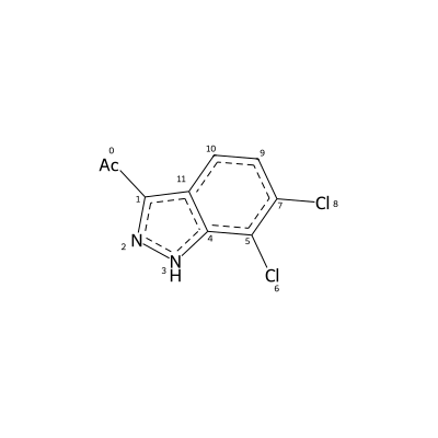 CC(=O)c1n[nH]c2c(Cl)c(Cl)ccc12